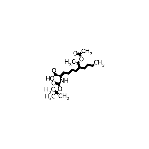 CCCCC(CCCC=C(NC(=O)OC(C)(C)C)C(=O)O)[C@H](C)OC(C)=O